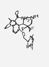 Cc1oc2ccc(OCc3ncn(C)n3)c(C3CCNCC3(F)F)c2c1C(N)=O